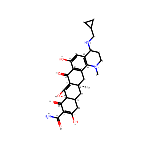 CN1CCC(NCC2CC2)c2cc(O)c3c(c21)C[C@H]1CC2CC(O)=C(C(N)=O)C(=O)[C@]24OC4=C1C3=O